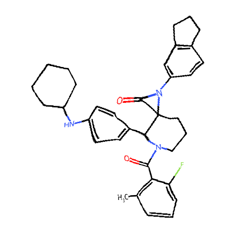 Cc1cccc(F)c1C(=O)N1CCCC2(C(=O)N2c2ccc3c(c2)CCC3)C1c1ccc(NC2CCCCC2)cc1